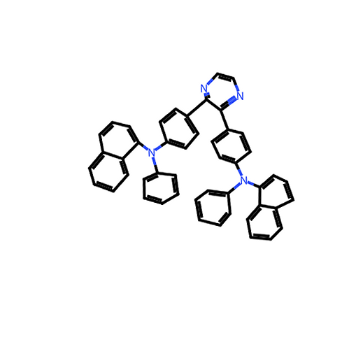 c1ccc(N(c2ccc(-c3nccnc3-c3ccc(N(c4ccccc4)c4cccc5ccccc45)cc3)cc2)c2cccc3ccccc23)cc1